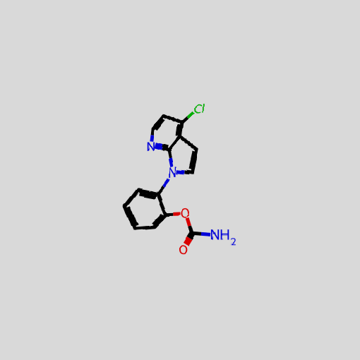 NC(=O)Oc1ccccc1-n1ccc2c(Cl)ccnc21